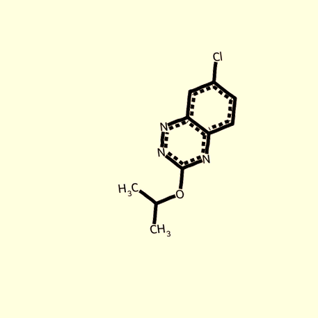 CC(C)Oc1nnc2cc(Cl)ccc2n1